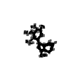 CC[C@H]1OC(n2cc(C=O)c3ccccc32)[C@H](C)[C@@H](C)[C@@H]1C